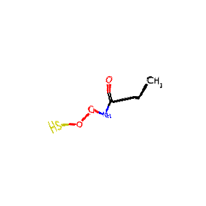 CCC(=O)NOOS